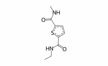 CCNC(=O)c1ccc(C(=O)NC)s1